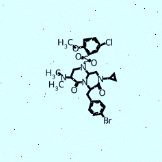 COc1ccc(Cl)cc1S(=O)(=O)N1CC(N(C)C)C(=O)N2C(Cc3ccc(Br)cc3)C(=O)N(C3CC3)CC21